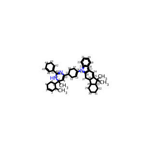 CC1C=CCCC1C1(C)C=C(C2CC=C(n3c4c(c5ccccc53)C=C3C(C4)C4CCCCC4C3(C)C)CC2)N=C(C2=CCCC=C2)N1